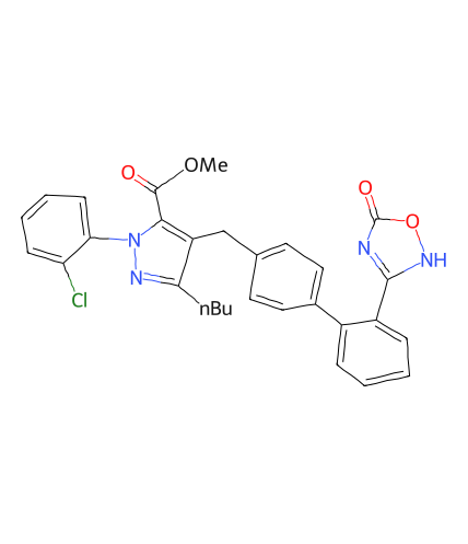 CCCCc1nn(-c2ccccc2Cl)c(C(=O)OC)c1Cc1ccc(-c2ccccc2-c2nc(=O)o[nH]2)cc1